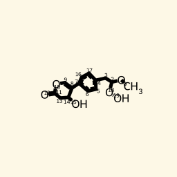 COC(Cc1ccc(C2=COC(=O)CC2O)cc1)OO